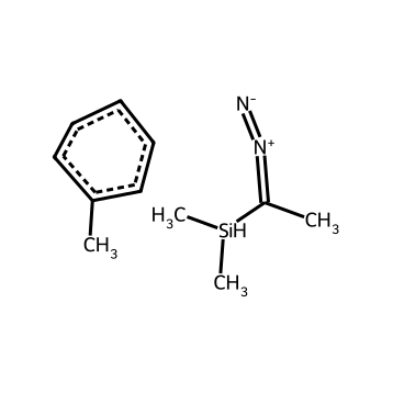 CC(=[N+]=[N-])[SiH](C)C.Cc1ccccc1